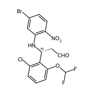 O=CC[C@@H](Nc1cc(Br)ccc1[N+](=O)[O-])c1c(Cl)cccc1OC(F)F